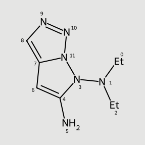 CCN(CC)n1c(N)cc2cnnn21